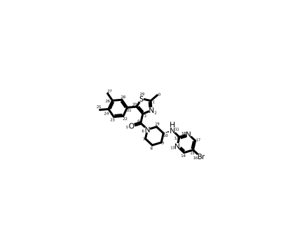 Cc1nc(C(=O)N2CCC[C@@H](Nc3ncc(Br)cn3)C2)c(-c2ccc(C)c(C)c2)s1